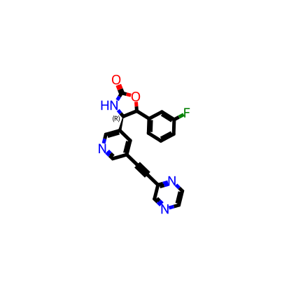 O=C1N[C@H](c2cncc(C#Cc3cnccn3)c2)C(c2cccc(F)c2)O1